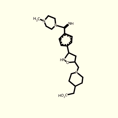 CN1CCN(C(=N)c2ccc(C3CC(CN4CCC(CC(=O)O)CC4)ON3)cc2)CC1